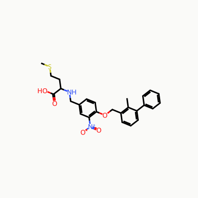 CSCCC(NCc1ccc(OCc2cccc(-c3ccccc3)c2C)c([N+](=O)[O-])c1)C(=O)O